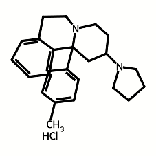 Cc1ccc(C23CC(N4CCCC4)CCN2CCc2ccccc23)cc1.Cl